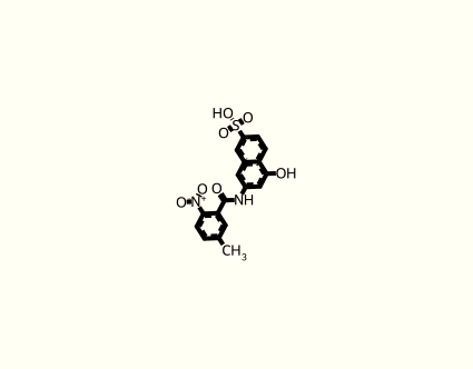 Cc1ccc([N+](=O)[O-])c(C(=O)Nc2cc(O)c3ccc(S(=O)(=O)O)cc3c2)c1